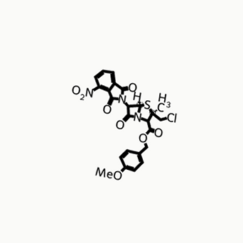 COc1ccc(COC(=O)C2N3C(=O)C(N4C(=O)c5cccc([N+](=O)[O-])c5C4=O)[C@@H]3S[C@@]2(C)CCl)cc1